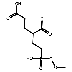 COOP(=O)(O)CCC(CCC(=O)O)C(=O)O